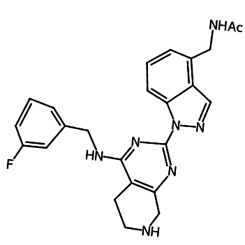 CC(=O)NCc1cccc2c1cnn2-c1nc2c(c(NCc3cccc(F)c3)n1)CCNC2